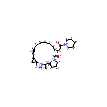 C=C1NC2(C(=O)OCC)CC2/C=C\CCCCC[C@@H](CC(=O)N2CCCCC2)C(=O)N2CCC[C@@H]12